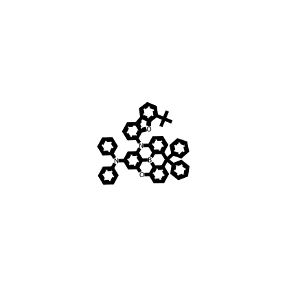 CC(C)(C)c1cccc2c1oc1c(N3c4cc(N(c5ccccc5)c5ccccc5)cc5c4B4c6c(cccc6C(c6ccccc6)(c6ccccc6)c6cccc3c64)O5)cccc12